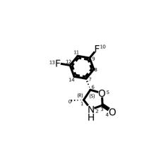 C[C@H]1NC(=O)O[C@H]1c1cc(F)cc(F)c1